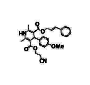 COc1ccc(C2C(C(=O)OCC=Cc3ccccc3)=C(C)NC(C)=C2C(=O)OCCC#N)cc1